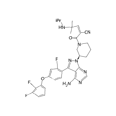 CC(C)NC(C)(C)/C=C(/C#N)C(=O)N1CCC[C@@H](n2nc(-c3ccc(Oc4cccc(F)c4F)cc3F)c3c(N)ncnc32)C1